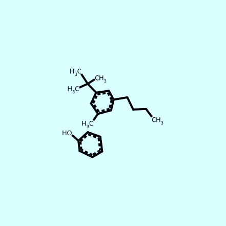 CCCCc1cc(C)cc(C(C)(C)C)c1.Oc1ccccc1